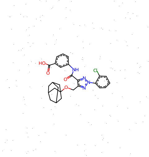 O=C(O)c1cccc(NC(=O)c2nn(-c3ccccc3Cl)nc2COC23CC4CC(CC(C4)C2)C3)c1